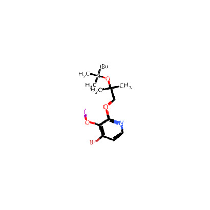 CC(C)(COc1nccc(Br)c1OI)O[Si](C)(C)C(C)(C)C